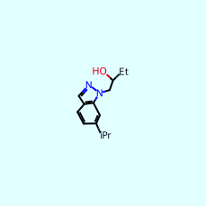 CCC(O)Cn1ncc2ccc(C(C)C)cc21